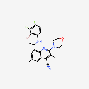 Cc1cc(C(C)Nc2ccc(F)c(F)c2Br)c2nc(N3CCOCC3)c(C)c(C#N)c2c1